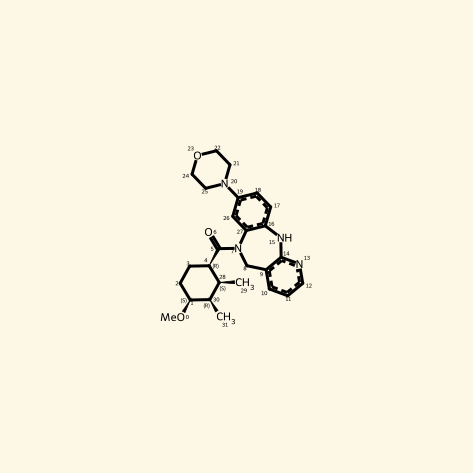 CO[C@H]1CC[C@@H](C(=O)N2Cc3cccnc3Nc3ccc(N4CCOCC4)cc32)[C@@H](C)[C@H]1C